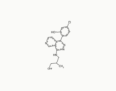 CC(CO)CNc1nnc(-c2ccc(Cl)cc2O)c2ccncc12